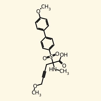 CNC(CC#CCOC)(C(=O)O)S(=O)(=O)c1ccc(-c2ccc(OC)cc2)cc1